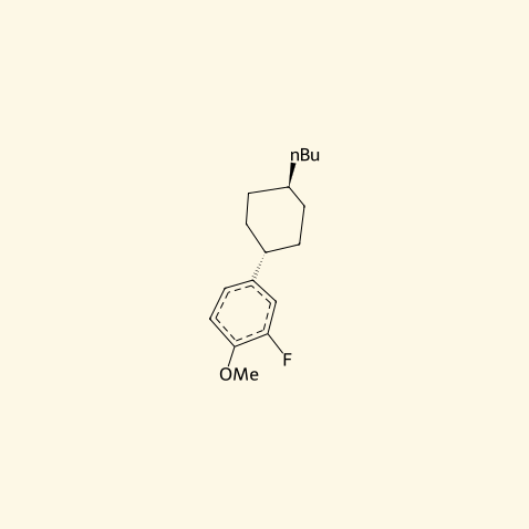 CCCC[C@H]1CC[C@H](c2ccc(OC)c(F)c2)CC1